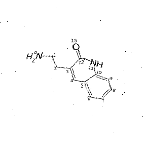 NCCc1cc2ccccc2[nH]c1=O